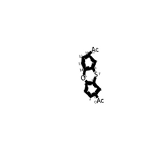 CC(=O)c1ccc2c(c1)Sc1cc(C(C)=O)ccc1O2